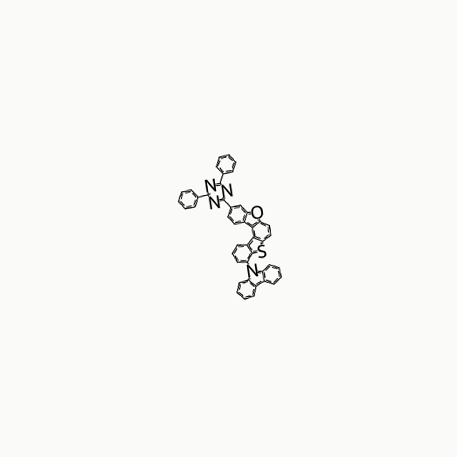 c1ccc(-c2nc(-c3ccccc3)nc(-c3ccc4c(c3)oc3ccc5sc6c(-n7c8ccccc8c8ccccc87)cccc6c5c34)n2)cc1